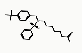 CC(C)(C)c1ccc(CN(CCCCCCC(=O)O)S(=O)(=O)c2ccccc2)cc1